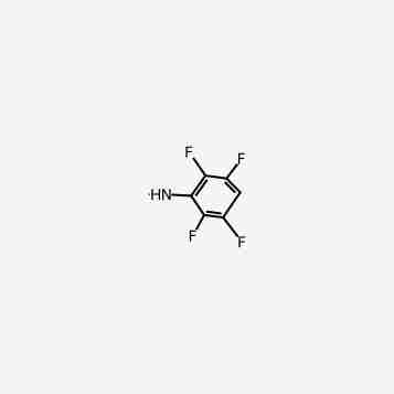 [NH]c1c(F)c(F)cc(F)c1F